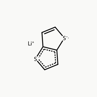 C1=Cc2sccc2[S-]1.[Li+]